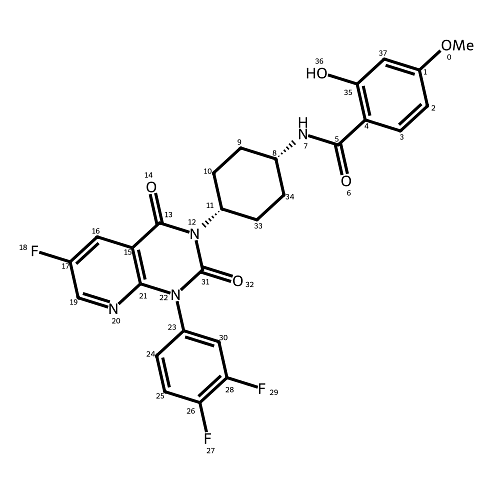 COc1ccc(C(=O)N[C@H]2CC[C@@H](n3c(=O)c4cc(F)cnc4n(-c4ccc(F)c(F)c4)c3=O)CC2)c(O)c1